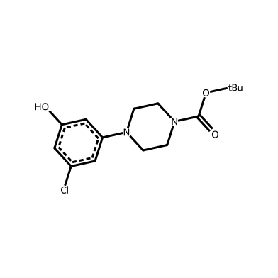 CC(C)(C)OC(=O)N1CCN(c2cc(O)cc(Cl)c2)CC1